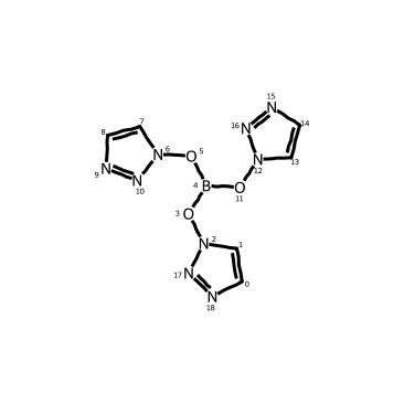 c1cn(OB(On2ccnn2)On2ccnn2)nn1